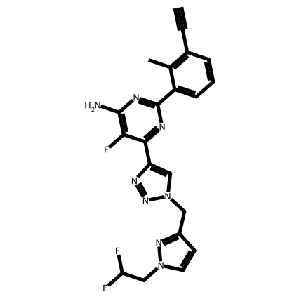 C#Cc1cccc(-c2nc(N)c(F)c(-c3cn(Cc4ccn(CC(F)F)n4)nn3)n2)c1C